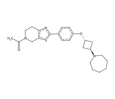 CC(=O)N1CCc2nc(-c3ccc(O[C@H]4C[C@H](N5CCCCCC5)C4)cc3)sc2C1